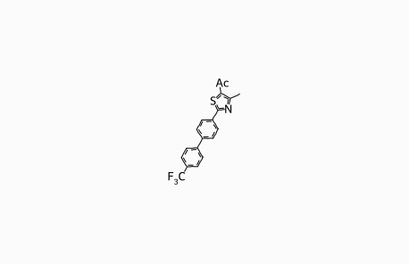 CC(=O)c1sc(-c2ccc(-c3ccc(C(F)(F)F)cc3)cc2)nc1C